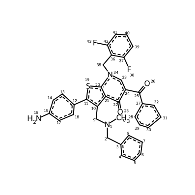 CN(Cc1ccccc1)Cc1c(-c2ccc(N)cc2)sc2c1c(=O)c(C(=O)c1ccccc1)cn2Cc1c(F)cccc1F